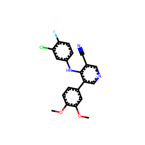 COc1ccc(-c2cncc(C#N)c2Nc2ccc(F)c(Cl)c2)cc1OC